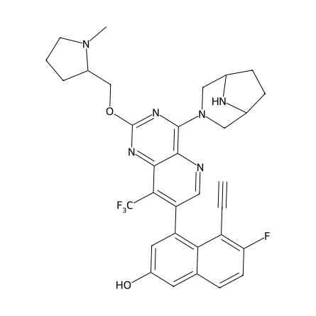 C#Cc1c(F)ccc2cc(O)cc(-c3cnc4c(N5CC6CCC(C5)N6)nc(OCC5CCCN5C)nc4c3C(F)(F)F)c12